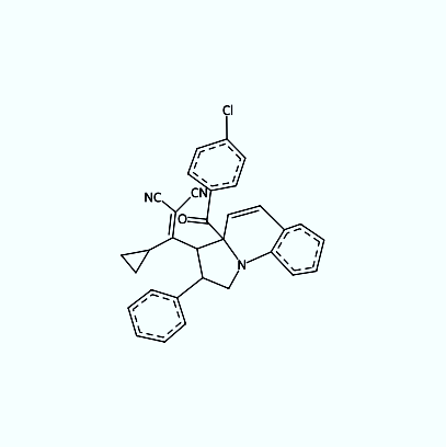 N#CC(C#N)=C(C1CC1)C1C(c2ccccc2)CN2c3ccccc3C=CC12C(=O)c1ccc(Cl)cc1